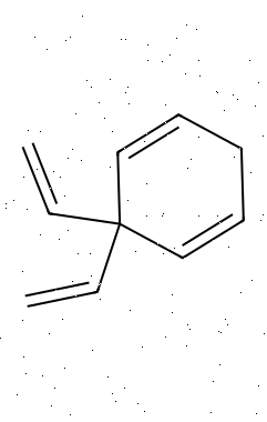 C=CC1(C=C)C=CCC=C1